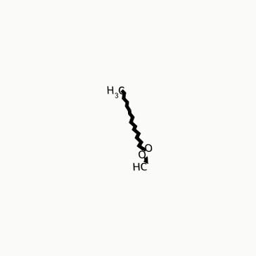 C#CCOC(=O)CCCCCCCCCCCCCCC